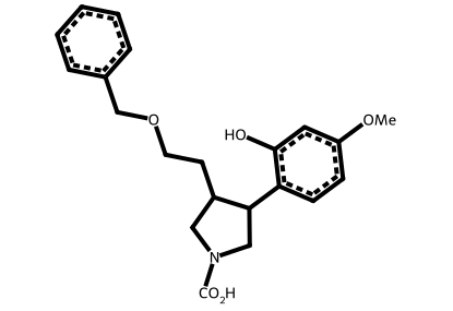 COc1ccc(C2CN(C(=O)O)CC2CCOCc2ccccc2)c(O)c1